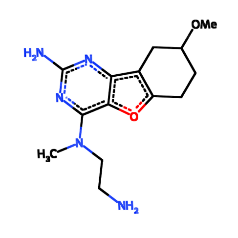 COC1CCc2oc3c(N(C)CCN)nc(N)nc3c2C1